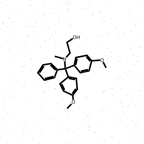 COc1ccc(C(c2ccccc2)(c2ccc(OC)cc2)N(C)CCO)cc1